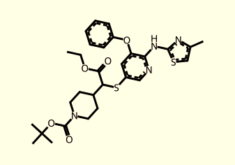 CCOC(=O)C(Sc1cnc(Nc2nc(C)cs2)c(Oc2ccccc2)c1)C1CCN(C(=O)OC(C)(C)C)CC1